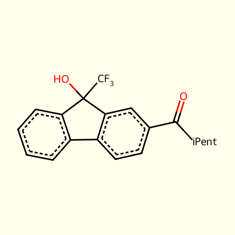 CCCC(C)C(=O)c1ccc2c(c1)C(O)(C(F)(F)F)c1ccccc1-2